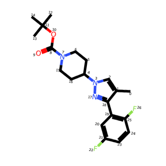 Cc1cn(C2CCN(C(=O)OC(C)(C)C)CC2)nc1-c1cc(F)ccc1F